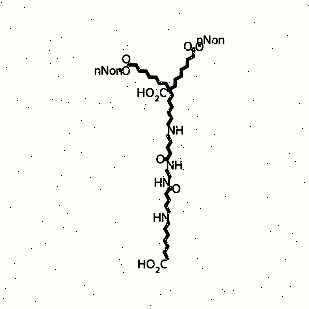 CCCCCCCCCOC(=O)CCCCCCCC(CCCCCCCC(=O)OCCCCCCCCC)(CCCCCCNCCCCC(=O)NCCNC(=O)CCCCNCCCCCCCC(=O)O)C(=O)O